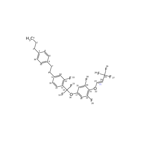 CCCc1ccc(CCc2ccc(C(F)(F)Oc3cc(F)c(O/C=C/C(F)(F)F)c(F)c3)c(F)c2)cc1